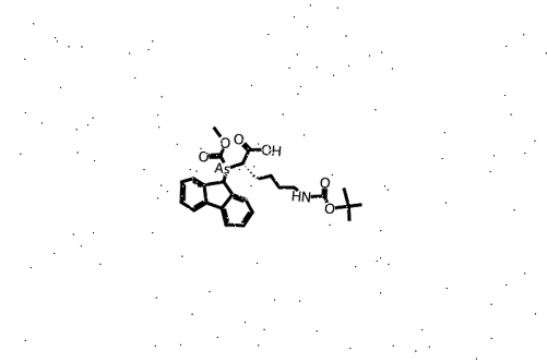 COC(=O)[As](C1c2ccccc2-c2ccccc21)[C@@H](CCCCNC(=O)OC(C)(C)C)C(=O)O